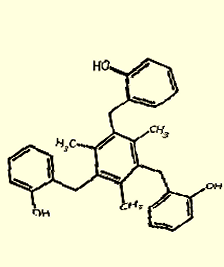 Cc1c(Cc2ccccc2O)c(C)c(Cc2ccccc2O)c(C)c1Cc1ccccc1O